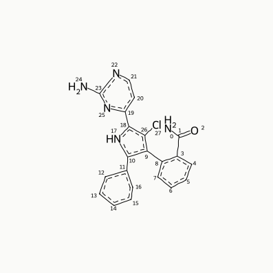 NC(=O)c1ccccc1-c1c(-c2ccccc2)[nH]c(-c2ccnc(N)n2)c1Cl